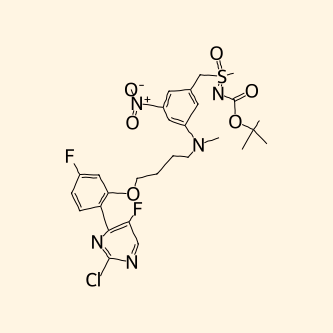 CN(CCCCOc1cc(F)ccc1-c1nc(Cl)ncc1F)c1cc(CS(C)(=O)=NC(=O)OC(C)(C)C)cc([N+](=O)[O-])c1